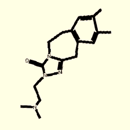 Cc1cc2c(cc1C)Cc1nn(CCN(C)C)c(=O)n1CC2